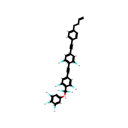 C=CCCc1ccc(C#Cc2cc(F)c(C#Cc3cc(F)c(C(F)(F)Oc4cc(F)c(F)c(F)c4)c(F)c3)c(F)c2)cc1